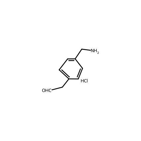 Cl.NCc1ccc(CC=O)cc1